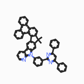 CC1(C)c2cc3c(cc2-c2c1ccc1c4ccccc4c4ccccc4c21)c1cccnc1n3-c1cccc(-c2nc(-c3ccccc3)cc(-c3ccccc3)n2)c1